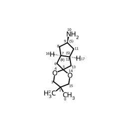 CC1(C)COC2(C[C@H]3C[C@@H](N)C[C@H]3C2)OC1